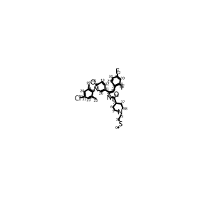 CSCCN1CCC(c2nc(-c3ccc(=O)n(-c4c(C)cc(Cl)cc4C)c3)c(-c3ccc(F)cc3F)o2)CC1